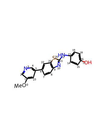 COc1cncc(-c2ccc3nc(Nc4ccc(O)cc4)sc3c2)c1